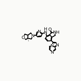 C[C@]12COCC1CN(c1ccc(Nc3ccc(-c4cnc5cnccn45)c4c3C(=O)NC4)nc1)C2